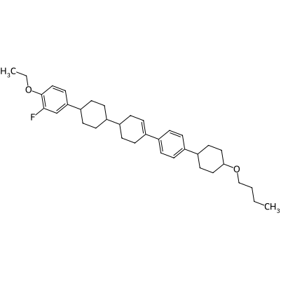 CCCCOC1CCC(c2ccc(C3=CCC(C4CCC(c5ccc(OCC)c(F)c5)CC4)CC3)cc2)CC1